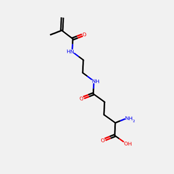 C=C(C)C(=O)NCCNC(=O)CCC(N)C(=O)O